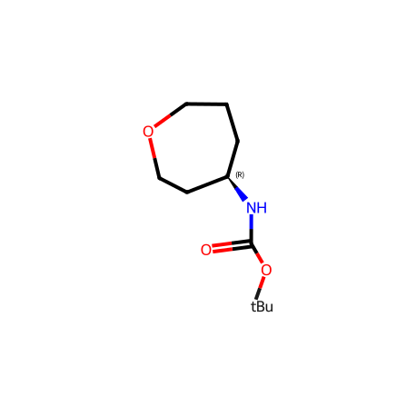 CC(C)(C)OC(=O)N[C@@H]1CCCOCC1